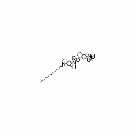 CCCCCCCCCCCCCCN1CCCc2cc(NC(=O)OC3CCCc4cc(NS(C)(=O)=O)ccc43)c(C)cc21